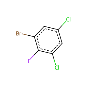 Clc1cc(Cl)c(I)c(Br)c1